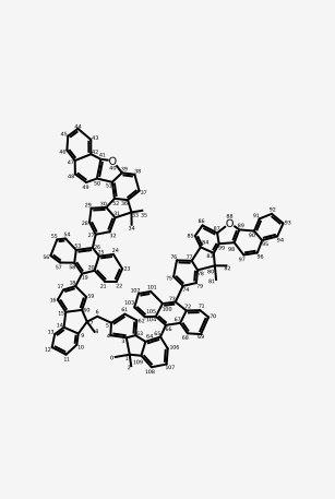 CC1(C)c2cc(CC3(C)c4ccccc4-c4ccc(-c5c6ccccc6c(-c6ccc7c(c6)C(C)(C)c6ccc8oc9c%10ccccc%10ccc9c8c6-7)c6ccccc56)cc43)ccc2-c2c(-c3c4ccccc4c(-c4ccc5c(c4)C(C)(C)c4c-5ccc5oc6c7ccccc7ccc6c45)c4ccccc34)cccc21